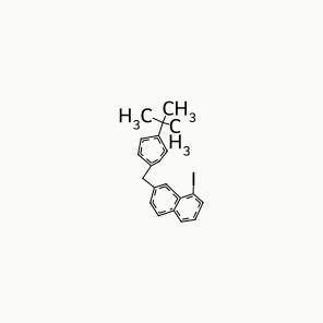 CC(C)(C)c1ccc(Cc2ccc3cccc(I)c3c2)cc1